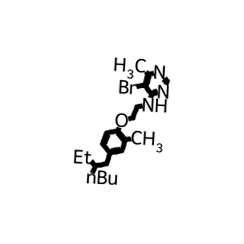 CCCCC(CC)Cc1ccc(OCCNc2ncnc(C)c2Br)c(C)c1